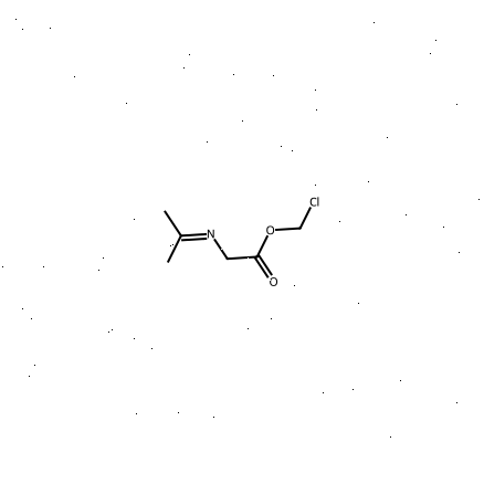 CC(C)=NCC(=O)OCCl